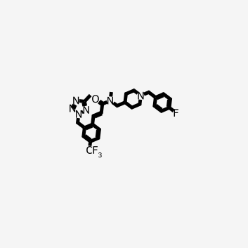 Cc1nnn(Cc2cc(C(F)(F)F)ccc2C=CC(=O)N(C)CC2CCN(Cc3ccc(F)cc3)CC2)n1